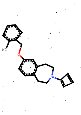 N#Cc1ccccc1COc1ccc2c(c1)CCN(C1=CC=C1)CC2